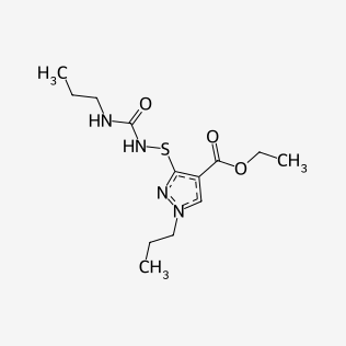 CCCNC(=O)NSc1nn(CCC)cc1C(=O)OCC